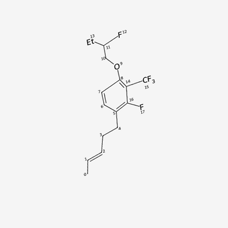 C/C=C/CCc1ccc(OCC(F)CC)c(C(F)(F)F)c1F